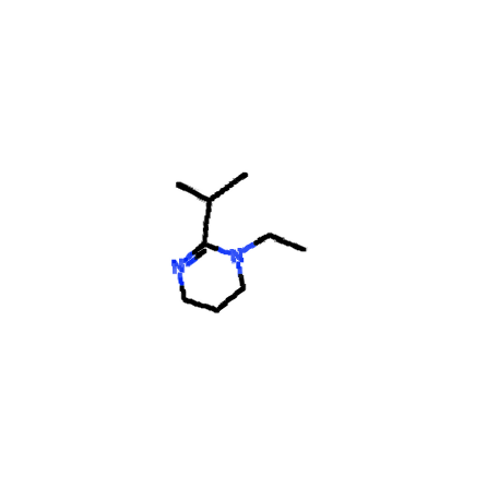 CCN1CCCN=C1C(C)C